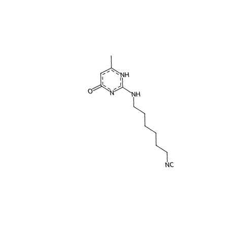 [C-]#[N+]CCCCCCNc1nc(=O)cc(C)[nH]1